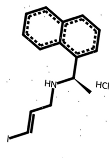 C[C@@H](NCC=CCl)c1cccc2ccccc12.Cl